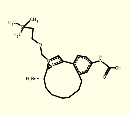 C[Si](C)(C)CCOCn1cc2nc1[C@@H](N)CCCCCCc1cc(NC(=O)O)ccc1-2